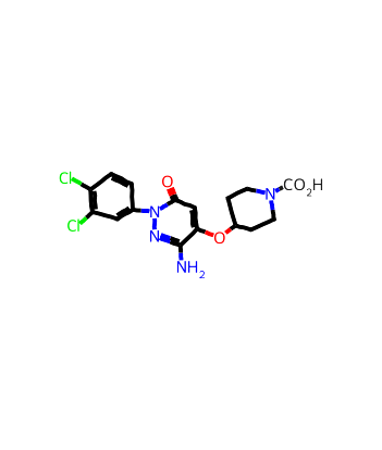 Nc1nn(-c2ccc(Cl)c(Cl)c2)c(=O)cc1OC1CCN(C(=O)O)CC1